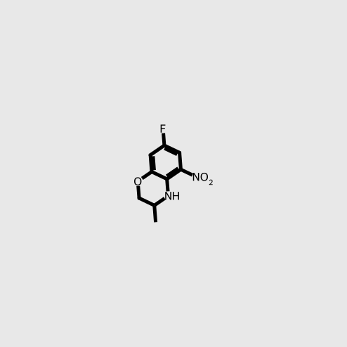 CC1COc2cc(F)cc([N+](=O)[O-])c2N1